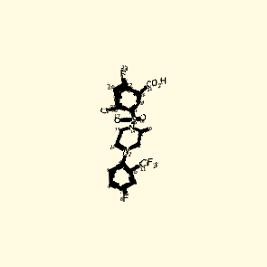 CC1CN(c2ccc(F)cc2C(F)(F)F)CCN1S(=O)(=O)c1cc(C(=O)O)c(F)cc1Cl